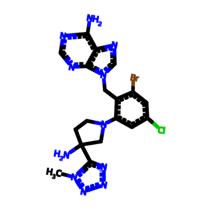 Cn1nnnc1C1(N)CCN(c2cc(Cl)cc(Br)c2Cn2cnc3c(N)ncnc32)C1